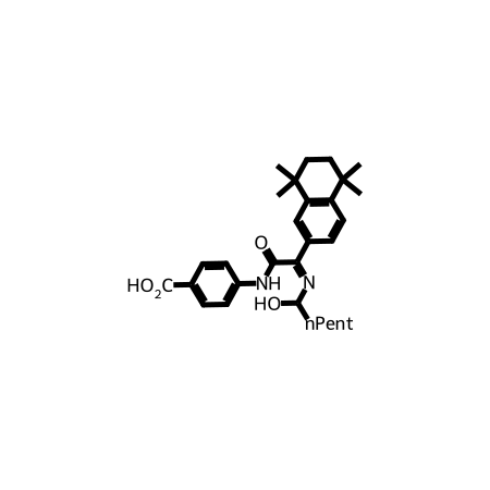 CCCCCC(O)N=C(C(=O)Nc1ccc(C(=O)O)cc1)c1ccc2c(c1)C(C)(C)CCC2(C)C